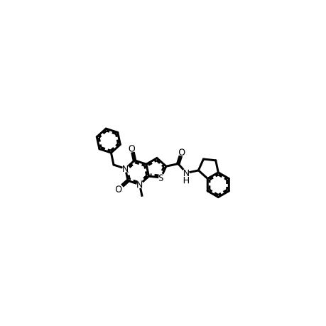 Cn1c(=O)n(Cc2ccccc2)c(=O)c2cc(C(=O)NC3CCc4ccccc43)sc21